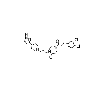 O=C(C=Cc1ccc(Cl)c(Cl)c1)N1CCC(=O)N(CCCN2CCC(c3cc[nH]n3)CC2)CC1